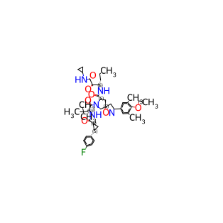 CCC[C@H](NC(=O)[C@@H]1C[C@]2(CC(c3cc(C)c(OCC)c(C)c3)=NO2)CN1C(=O)[C@@H](NC(=O)[C@H]1C[C@@H]1c1ccc(F)cc1)C(C)(C)C)C(=O)C(=O)NC1CC1